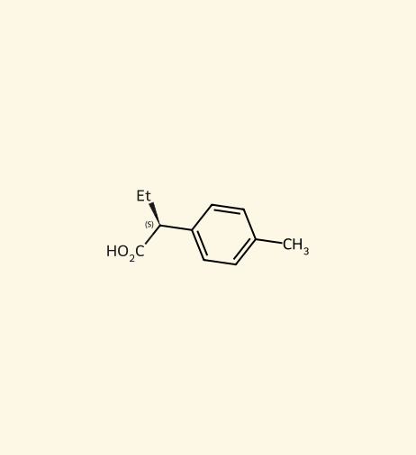 CC[C@H](C(=O)O)c1ccc(C)cc1